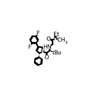 CCN(C)C(=O)CN[C@H](C(=O)N1CC(c2cc(F)ccc2F)=C[C@H]1c1ccccc1)C(C)(C)C